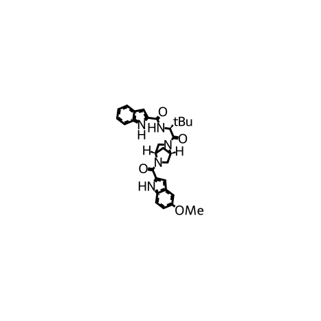 COc1ccc2[nH]c(C(=O)N3C[C@@H]4C[C@H]3CN4C(=O)[C@@H](NC(=O)c3cc4ccccc4[nH]3)C(C)(C)C)cc2c1